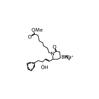 COC(=O)CCCCCCN1C(=O)CCCC1/C=C/[C@H](O)Cc1ccccc1.[BH4-].[Na+]